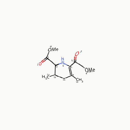 COC(=O)[C]1NC(C(=O)OC)=C(C)CC1C